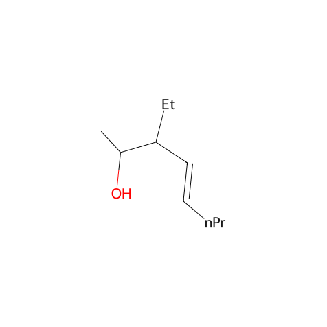 [CH2]CCC=CC(CC)C(C)O